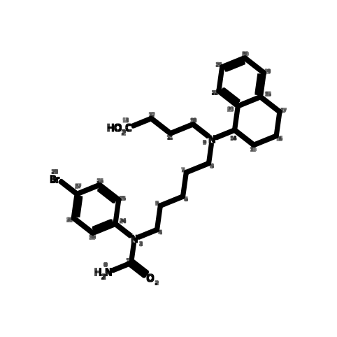 NC(=O)N(CCCCCN(CCCC(=O)O)C1CCCc2ccccc21)c1ccc(Br)cc1